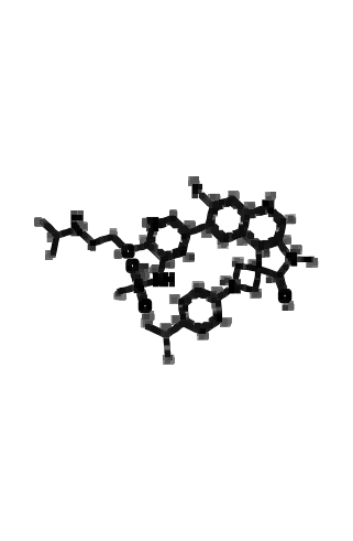 CC(C)NCCOc1ncc(-c2cc3c4c(cnc3cc2F)N(C)C(=O)C42CN(c3ccc(C(C)C)cc3)C2)cc1NS(C)(=O)=O